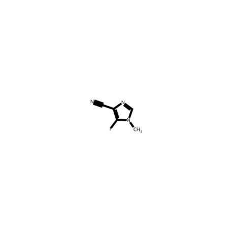 Cn1cnc(C#N)c1I